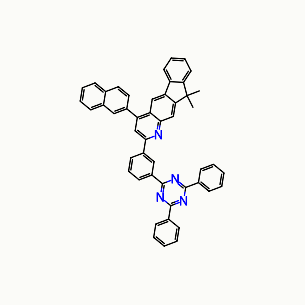 CC1(C)c2ccccc2-c2cc3c(-c4ccc5ccccc5c4)cc(-c4cccc(-c5nc(-c6ccccc6)nc(-c6ccccc6)n5)c4)nc3cc21